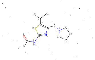 CC(=O)Nc1nc(CN2CCCC2)c(C(C)C)s1